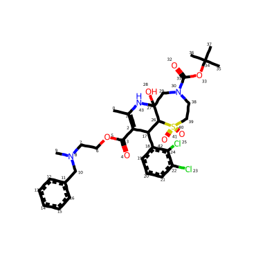 CC1=C(C(=O)OCCN(C)Cc2ccccc2)C(c2cccc(Cl)c2Cl)C2C(O)(CN(C(=O)OC(C)(C)C)CCS2(=O)=O)N1